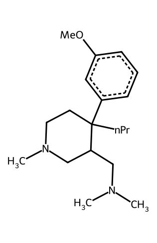 CCCC1(c2cccc(OC)c2)CCN(C)CC1CN(C)C